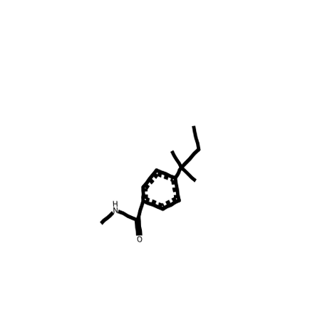 CCC(C)(C)c1ccc(C(=O)NC)cc1